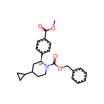 COC(=O)c1ccc([C@@H]2CC(C3CC3)CCN2C(=O)OCc2ccccc2)cc1